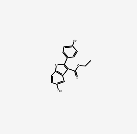 CCOC(=O)c1c(-c2ccc(Br)cc2)oc2ccc(O)cc12